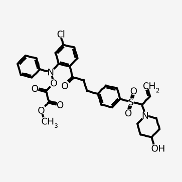 C=CC(N1CCC(O)CC1)S(=O)(=O)c1ccc(CCC(=O)c2ccc(Cl)cc2N(OC(=O)C(=O)OC)c2ccccc2)cc1